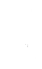 [O-][n+]1c[c]cc(C(F)(F)F)c1